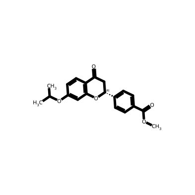 COC(=O)c1ccc([C@H]2CC(=O)c3ccc(OC(C)C)cc3O2)cc1